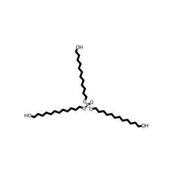 O=P(OCCCCCCCCCCCCO)(OCCCCCCCCCCCCO)OCCCCCCCCCCCCO